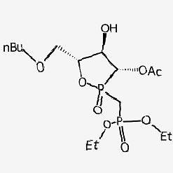 CCCCOC[C@H]1OP(=O)(CP(=O)(OCC)OCC)[C@@H](OC(C)=O)[C@@H]1O